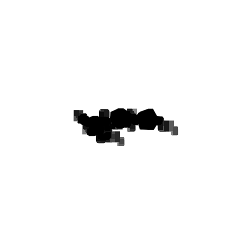 CCc1ccc(-c2nc3ccc(NC(=O)c4cc(C#N)ncc4S(C)(=O)=O)cc3s2)cc1